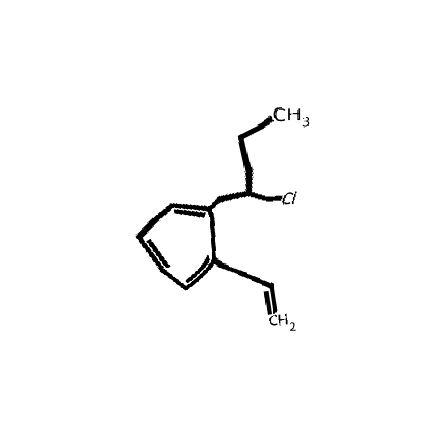 C=Cc1ccccc1C(Cl)CC